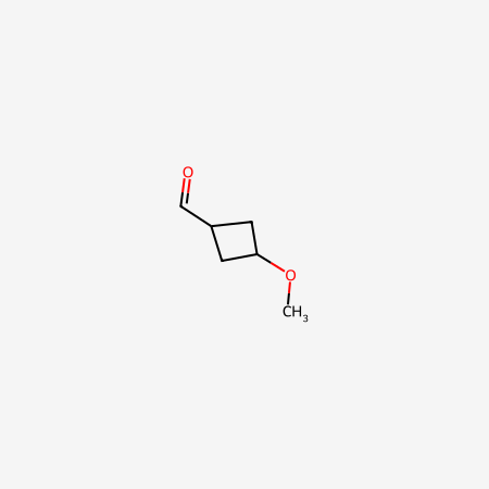 COC1CC(C=O)C1